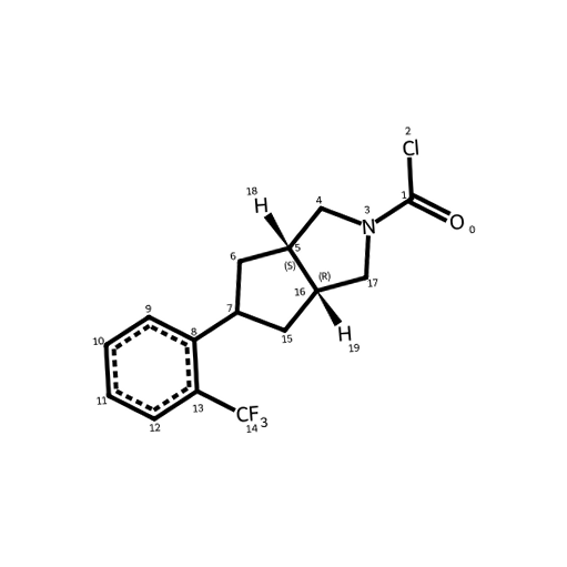 O=C(Cl)N1C[C@H]2CC(c3ccccc3C(F)(F)F)C[C@H]2C1